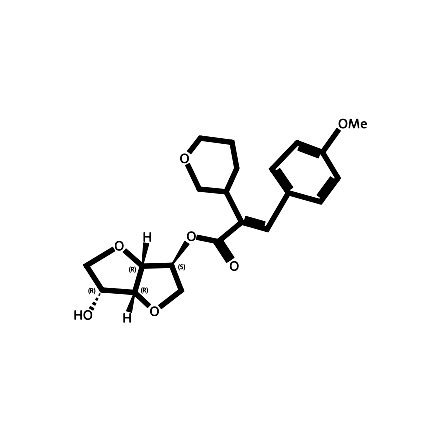 COc1ccc(C=C(C(=O)O[C@H]2CO[C@H]3[C@@H]2OC[C@H]3O)C2CCCOC2)cc1